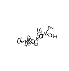 Cc1cc(N(CCO)CCO)ccc1/N=N/c1cc(Cl)c(S(=O)(=O)NCCCl)cc1Cl